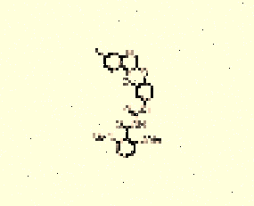 COc1cccc(OC)c1C(=O)NC(=O)Nc1ccc(Oc2cnc3cc(F)ccc3n2)c(Cl)c1